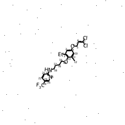 CCc1cc(OCC=C(Cl)Cl)cc(C)c1OCCCCNc1ccc(C(F)(F)F)cn1